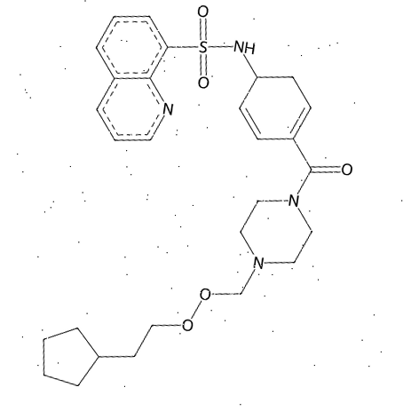 O=C(C1=CCC(NS(=O)(=O)c2cccc3cccnc23)C=C1)N1CCN(COOCCC2CCCC2)CC1